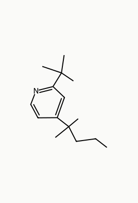 CCCC(C)(C)c1ccnc(C(C)(C)C)c1